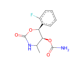 CC1NC(=O)O[C@@H](c2ccccc2F)[C@H]1OC(N)=O